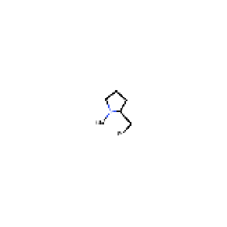 CC(C)CC1CCCN1C(C)(C)C